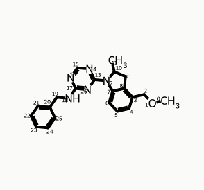 COCc1cccc2c1CC(C)N2c1ncnc(NCc2ccccc2)n1